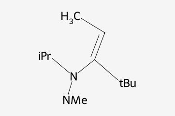 C/C=C(\N(NC)C(C)C)C(C)(C)C